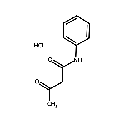 CC(=O)CC(=O)Nc1ccccc1.Cl